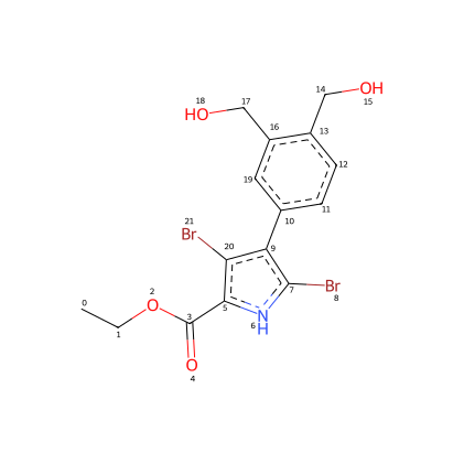 CCOC(=O)c1[nH]c(Br)c(-c2ccc(CO)c(CO)c2)c1Br